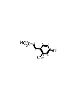 O=C(O)/C=C/c1ccc(Cl)cc1Cl